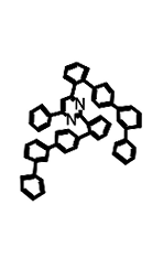 c1ccc(-c2cccc(-c3ccc(-c4ccccc4-c4cc(-c5ccccc5)nc(-c5ccccc5-c5ccc(-c6cccc(-c7ccccc7)c6)cc5)n4)cc3)c2)cc1